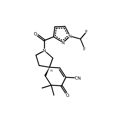 CC1(C)C[C@@]2(C=C(C#N)C1=O)CCN(C(=O)c1ccn(C(F)F)n1)C2